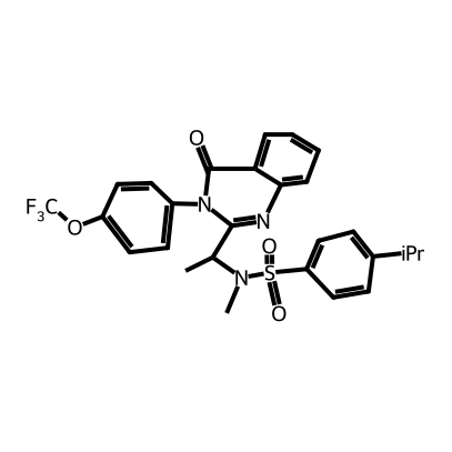 CC(C)c1ccc(S(=O)(=O)N(C)C(C)c2nc3ccccc3c(=O)n2-c2ccc(OC(F)(F)F)cc2)cc1